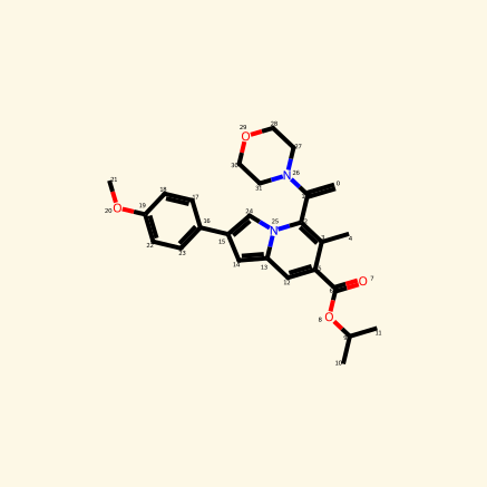 C=C(c1c(C)c(C(=O)OC(C)C)cc2cc(-c3ccc(OC)cc3)cn12)N1CCOCC1